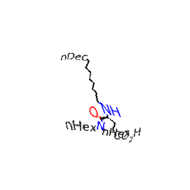 CCCCCCCCCCCCCCCCCCN[C@@H](CCC(=O)O)C(=O)N(CCCCCC)CCCCCC